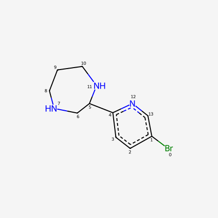 Brc1ccc(C2CNCCCN2)nc1